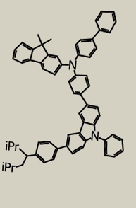 CC(C)CC(c1ccc(-c2ccc3c(c2)c2cc(-c4ccc(N(c5ccc(-c6ccccc6)cc5)c5ccc6c(c5)C(C)(C)c5ccccc5-6)cc4)ccc2n3-c2ccccc2)cc1)C(C)C